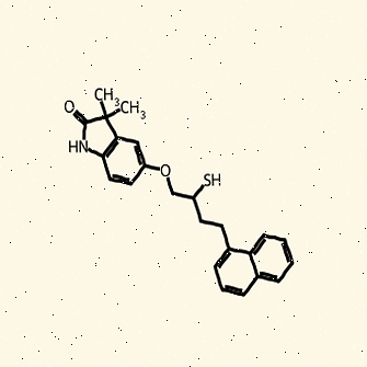 CC1(C)C(=O)Nc2ccc(OCC(S)CCc3cccc4ccccc34)cc21